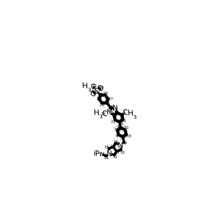 Cc1cc(-c2ccc(CN3CC4CN(CC(C)C)CC4C3)cc2)cc2c1nc(-c1ccc(S(C)(=O)=O)cc1)n2C